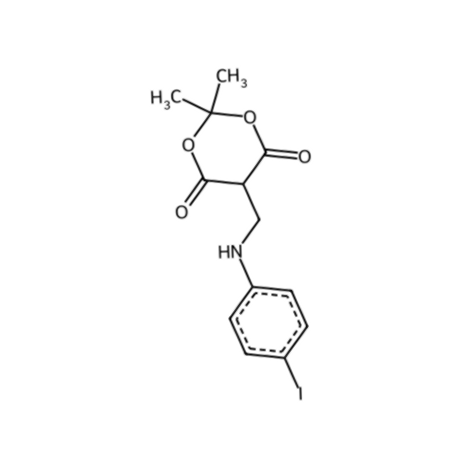 CC1(C)OC(=O)C(CNc2ccc(I)cc2)C(=O)O1